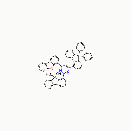 CC1(C)c2ccccc2-c2cccc(-c3nc(-c4cccc5c4-c4ccccc4C5(c4ccccc4)c4ccccc4)cc(-c4cccc5c4oc4ccccc45)n3)c21